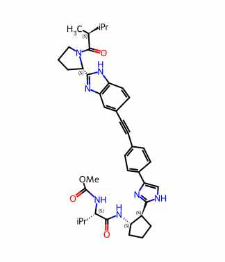 COC(=O)N[C@H](C(=O)N[C@H]1CCC[C@@H]1c1nc(-c2ccc(C#Cc3ccc4[nH]c([C@@H]5CCCN5C(=O)[C@@H](C)C(C)C)nc4c3)cc2)c[nH]1)C(C)C